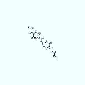 CCCCCC1CCC(CCc2ncc(CCC)cn2)CC1